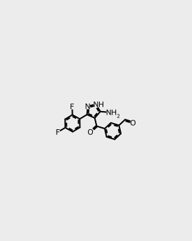 Nc1[nH]nc(-c2ccc(F)cc2F)c1C(=O)c1cccc(C=O)c1